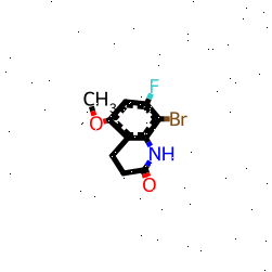 COc1cc(F)c(Br)c2c1CCC(=O)N2